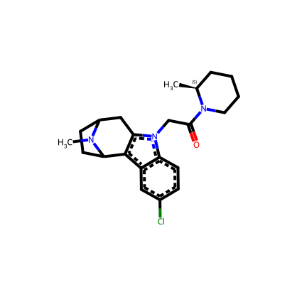 C[C@H]1CCCCN1C(=O)Cn1c2c(c3cc(Cl)ccc31)C1CCC(C2)N1C